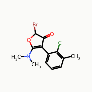 Cc1cccc(C2=C(N(C)C)OC(Br)C2=O)c1Cl